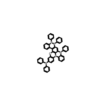 c1ccc(B2c3cc4c5c(c3-c3ccccc3N2c2ccccc2)Oc2cc(N(c3ccccc3)c3ccccc3)ccc2B5c2ccccc2N4c2ccccc2)cc1